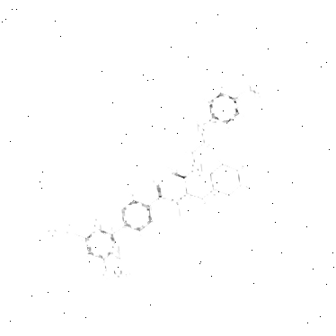 COc1cc(OC)nc(-c2ccc(C(=O)NC(CC3CCCCC3)C(=O)NCCNc3ccc(OC(F)(F)F)cc3)cc2)n1